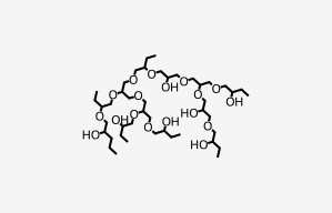 CCCC(O)COC(CC)COC(COCC(CC)OCC(O)COCC(COCC(O)CC)OCC(O)COCC(O)CC)COCC(COCC(O)CC)OCC(O)CC